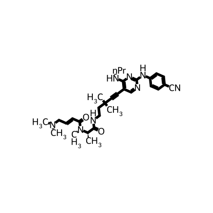 CCCNc1nc(Nc2ccc(C#N)cc2)ncc1C#CC(C)(C)CCNC(=O)[C@H](C)N(C)C(=O)/C=C/CN(C)C